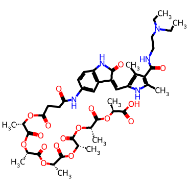 CCN(CC)CCNC(=O)c1c(C)[nH]c(/C=C2\C(=O)Nc3ccc(NC(=O)CCC(=O)O[C@@H](C)C(=O)O[C@@H](C)C(=O)O[C@@H](C)C(=O)O[C@@H](C)C(=O)O[C@@H](C)C(=O)O[C@@H](C)C(=O)O)cc32)c1C